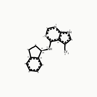 FC(F)(F)c1c[nH]c2ncnc(N[C@@H]3CCc4ccccc43)c12